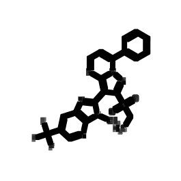 CCS(=O)(=O)c1nn2c(-c3ccccc3)ccnc2c1-c1nc2cc(C(F)(F)F)cnc2n1C